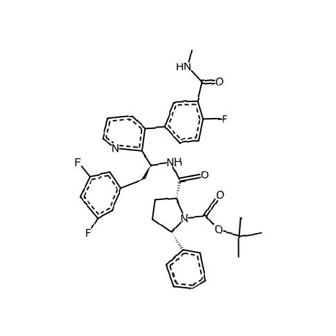 CNC(=O)c1cc(-c2cccnc2[C@H](Cc2cc(F)cc(F)c2)NC(=O)[C@H]2CC[C@@H](c3ccccc3)N2C(=O)OC(C)(C)C)ccc1F